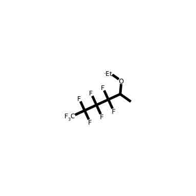 C[CH]OC(C)C(F)(F)C(F)(F)C(F)(F)C(F)(F)F